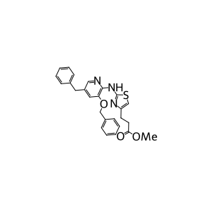 COC(=O)CCc1csc(Nc2ncc(Cc3ccccc3)cc2OCc2ccccc2)n1